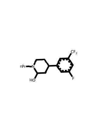 CCCN1CCC(c2cc(F)cc(C(F)(F)F)c2)CC1O